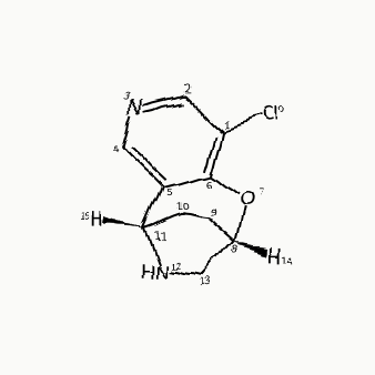 Clc1cncc2c1O[C@H]1CC[C@@H]2NC1